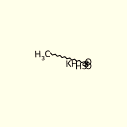 CCCCCCCCCCCCCCCCS(=O)(=O)S.[KH]